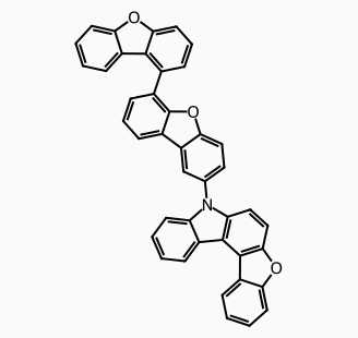 c1ccc2c(c1)oc1cccc(-c3cccc4c3oc3ccc(-n5c6ccccc6c6c7c(ccc65)oc5ccccc57)cc34)c12